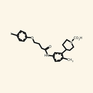 Cc1ccc(NC(=O)CCCOc2ccc(I)cc2)cc1C1CCN(C(=O)O)CC1